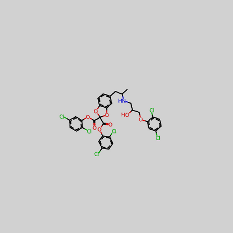 CC(Cc1ccc2c(c1)OC(C(=O)Oc1cc(Cl)ccc1Cl)(C(=O)Oc1cc(Cl)ccc1Cl)O2)NCC(O)COc1cc(Cl)ccc1Cl